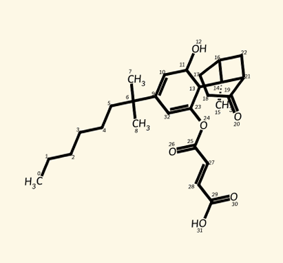 CCCCCCC(C)(C)C1=CC(O)C([C@@]2(C)C3CCC(=O)C2C3)C(OC(=O)/C=C/C(=O)O)=C1